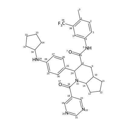 Cc1ccc(NC(=O)C2CC3CCCC3N(C(=O)c3cncnc3)C2c2ccc(NC3CCCC3)cc2)cc1C(F)(F)F